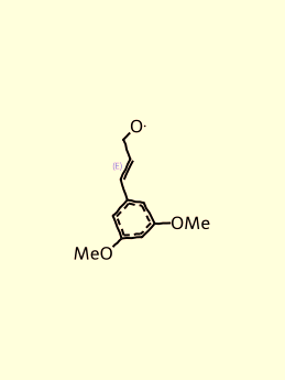 COc1cc(/C=C/C[O])cc(OC)c1